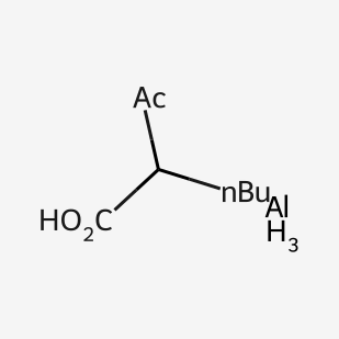 CCCCC(C(C)=O)C(=O)O.[AlH3]